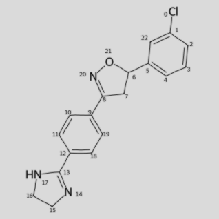 Clc1cccc(C2CC(c3ccc(C4=NCCN4)cc3)=NO2)c1